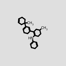 CC1CCC(NC2=CCCC=C2)=C(C2=CC(C3(C)CC=CCC3)=CCC2)C1